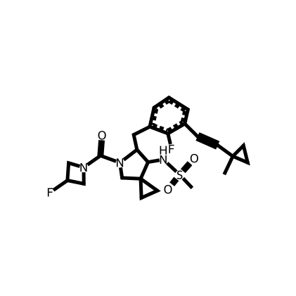 CC1(C#Cc2cccc(CC3C(NS(C)(=O)=O)C4(CC4)CN3C(=O)N3CC(F)C3)c2F)CC1